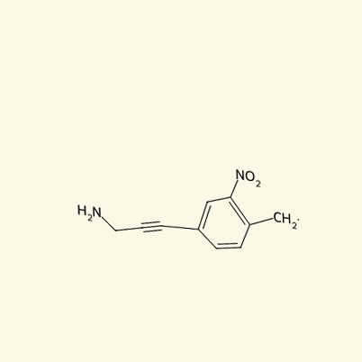 [CH2]c1ccc(C#CCN)cc1[N+](=O)[O-]